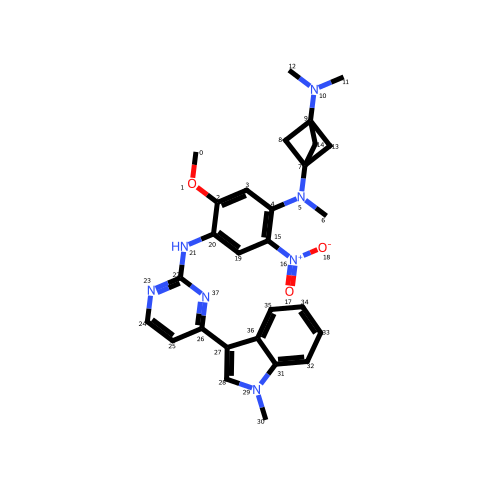 COc1cc(N(C)C23CC(N(C)C)(C2)C3)c([N+](=O)[O-])cc1Nc1nccc(-c2cn(C)c3ccccc23)n1